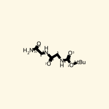 CC(C)(C)OC(=O)NCC(=O)NCC(N)=O